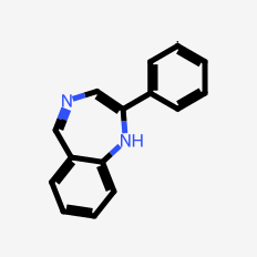 [c]1cccc(C2=CN=Cc3ccccc3N2)c1